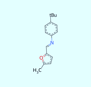 Cc1ccc(C=Nc2ccc(C(C)(C)C)cc2)o1